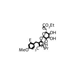 CCOC(=O)OC[C@H]1O[C@@H](Oc2nn(C(C)C)c(C(F)(F)F)c2Cc2ccc(OC)cc2F)[C@H](O)[C@@H](O)[C@@H]1O